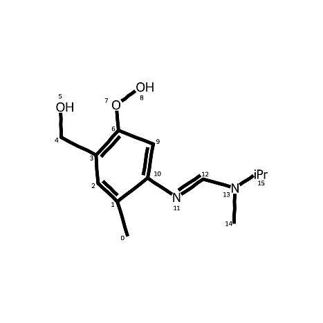 Cc1cc(CO)c(OO)cc1/N=C/N(C)C(C)C